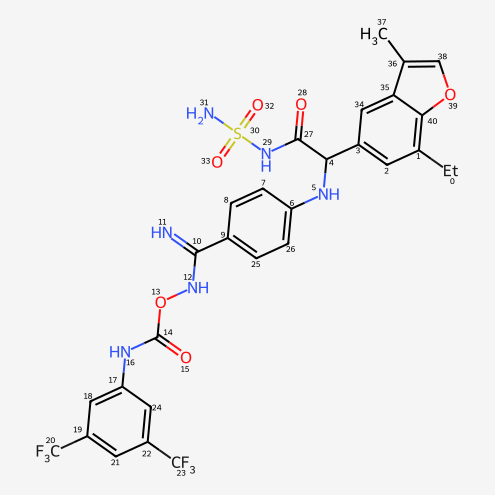 CCc1cc(C(Nc2ccc(C(=N)NOC(=O)Nc3cc(C(F)(F)F)cc(C(F)(F)F)c3)cc2)C(=O)NS(N)(=O)=O)cc2c(C)coc12